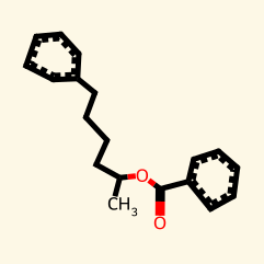 CC(CCCCc1ccccc1)OC(=O)c1ccccc1